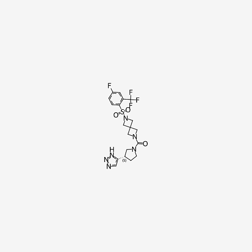 O=C(N1CC[C@H](c2cnn[nH]2)C1)N1CC2(C1)CN(S(=O)(=O)c1ccc(F)cc1C(F)(F)F)C2